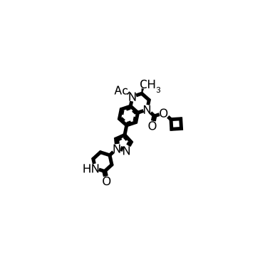 CC(=O)N1c2ccc(-c3cnn(C4CCNC(=O)C4)c3)cc2N(C(=O)OC2CCC2)C[C@@H]1C